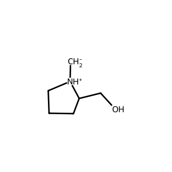 [CH2-][NH+]1CCCC1CO